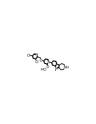 Cl.Cn1c2c(c3ccc(-n4ccc(OCc5ncc(Cl)cc5Cl)cc4=O)cc31)CCNCC2